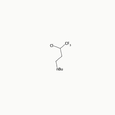 CCCCCCC(Cl)C(F)(F)F